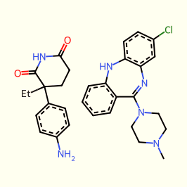 CCC1(c2ccc(N)cc2)CCC(=O)NC1=O.CN1CCN(C2=Nc3cc(Cl)ccc3Nc3ccccc32)CC1